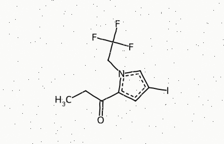 CCC(=O)c1cc(I)cn1CC(F)(F)F